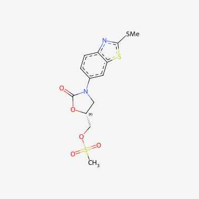 CSc1nc2ccc(N3C[C@H](COS(C)(=O)=O)OC3=O)cc2s1